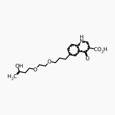 C=C(O)CCOCCOCCCc1ccc2[nH]cc(C(=O)O)c(=O)c2c1